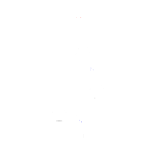 CON=C(COc1cccc(CNc2ccc(CCC(=O)O)cc2)c1)c1ccccc1